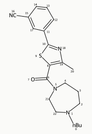 CCCCN1CCCN(C(=O)c2sc(-c3cccc(C#N)c3)nc2C)CC1